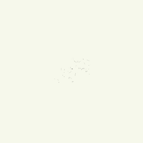 CCOC(=O)CN1Cc2c(Cl)ccc(Nc3c(N[C@@H](c4ccc(C)o4)C(C)(C)C)c(=O)c3=O)c2C1O